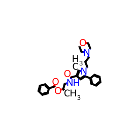 Cc1c(C(=O)NCC(C)OC(=O)c2ccccc2)cc(-c2ccccc2)n1CCCN1CCOCC1